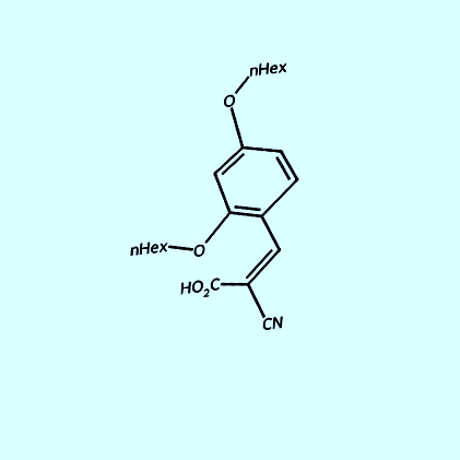 CCCCCCOc1ccc(C=C(C#N)C(=O)O)c(OCCCCCC)c1